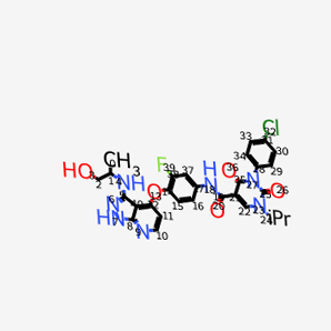 CC(CO)Nc1n[nH]c2nccc(Oc3ccc(NC(=O)c4cn(C(C)C)c(=O)n(-c5ccc(Cl)cc5)c4=O)cc3F)c12